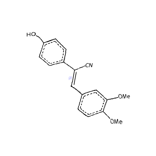 COc1ccc(/C=C(\C#N)c2ccc(O)cc2)cc1OC